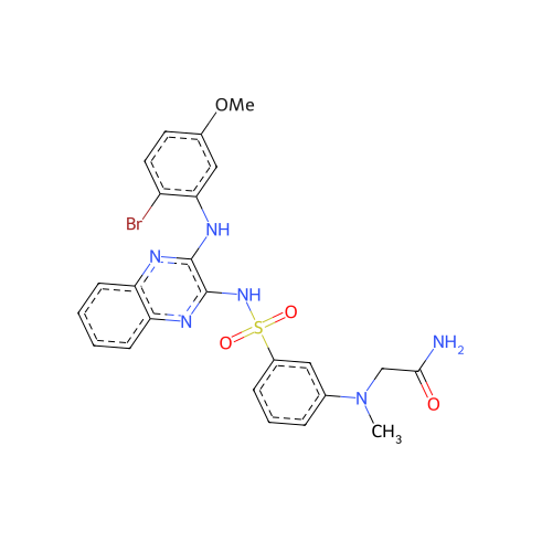 COc1ccc(Br)c(Nc2nc3ccccc3nc2NS(=O)(=O)c2cccc(N(C)CC(N)=O)c2)c1